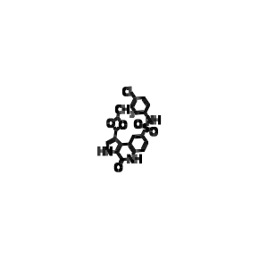 CC1OC(c2c[nH]c3c(=O)[nH]c4ccc(S(=O)(=O)Nc5ccc(Cl)cc5)cc4c23)O1